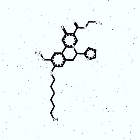 CCOC(=O)c1cn2c(cc1=O)-c1cc(OC)c(OCCCCCCO)cc1CC2c1cccs1